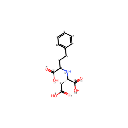 O=C(O)C[C@H](NC(CCc1ccccc1)C(=O)O)C(=O)O